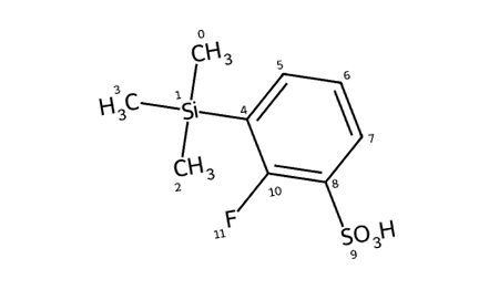 C[Si](C)(C)c1cccc(S(=O)(=O)O)c1F